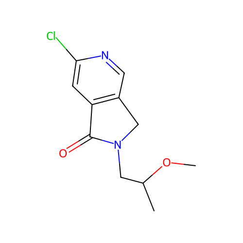 COC(C)CN1Cc2cnc(Cl)cc2C1=O